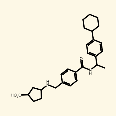 CC(NC(=O)c1ccc(CNC2CCC(C(=O)O)C2)cc1)c1ccc(C2CCCCC2)cc1